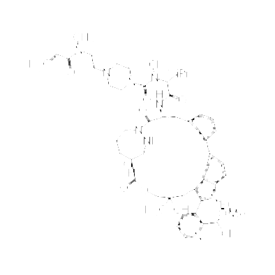 C=CC(=O)N(C)CCN1CCN(C(=O)N(C)C(C(=O)N[C@H]2Cc3cccc(c3)-c3ccc4c(c3)c(c(-c3cccnc3[C@H](C)OC)n4CC)CC(C)(C)COC(=O)[C@@H]3CCCN(NC3)C2=O)C(C)C)CC1